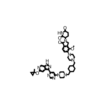 COc1c(N2CCN(CC3CCC(CN4CCN(c5cc(-c6n[nH]c7cnc(OC8(C)CC8)cc67)ncn5)CC4)CC3)CC2)ccc2c1CN(C1CCC(=O)NC1=O)C2=O